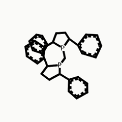 c1ccc(C2CCC(c3ccccc3)P2CP2C(c3ccccc3)CCC2c2ccccc2)cc1